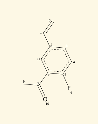 C=Cc1ccc(F)c(C(C)=O)c1